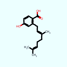 CC(C)=CCC/C(C)=C/Cc1cc(O)ccc1C(=O)O